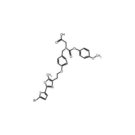 COc1ccc(OC(=O)N(CC(=O)O)Cc2ccc(OCCc3nc(-c4ccc(Br)s4)oc3C)cc2)cc1